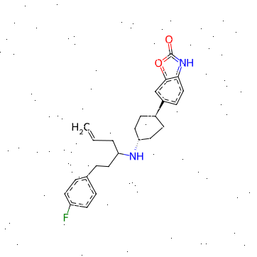 C=CCC(CCc1ccc(F)cc1)N[C@H]1CC[C@H](c2ccc3[nH]c(=O)oc3c2)CC1